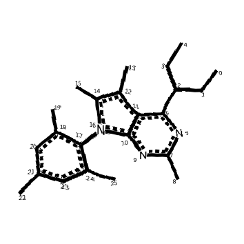 CCC(CC)c1nc(C)nc2c1c(C)c(C)n2-c1c(C)cc(C)cc1C